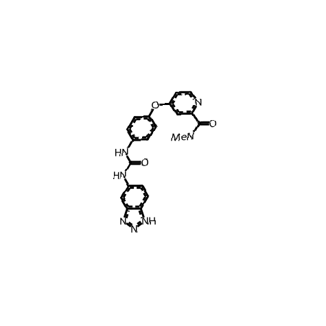 CNC(=O)c1cc(Oc2ccc(NC(=O)Nc3ccc4[nH]nnc4c3)cc2)ccn1